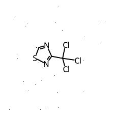 ClC(Cl)(Cl)c1n[c]sn1